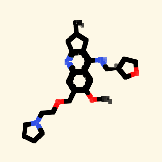 COc1cc2c(NC[C@H]3CCOC3)c3c(nc2cc1COCCN1CCCC1)CC(C)C3